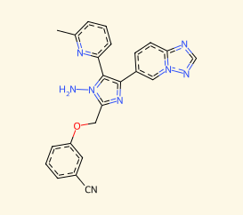 Cc1cccc(-c2c(-c3ccc4ncnn4c3)nc(COc3cccc(C#N)c3)n2N)n1